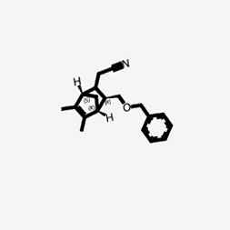 CC1=C(C)[C@@H]2C[C@H]1C(CC#N)[C@H]2COCc1ccccc1